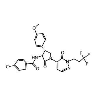 COc1ccc([C@@H]2CN(c3ccnn(CCC(F)(F)F)c3=O)C(=O)C2NC(=O)c2ccc(Cl)cc2)cc1